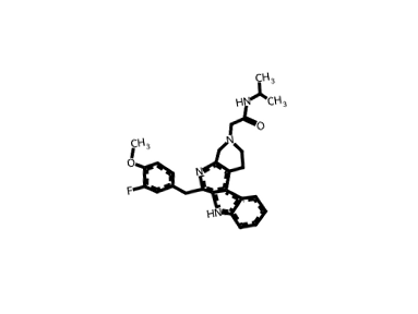 COc1ccc(Cc2nc3c(c4c2[nH]c2ccccc24)CCN(CC(=O)NC(C)C)C3)cc1F